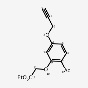 C#CCOc1ccc(C(C)=O)c(OCC(=O)OCC)c1